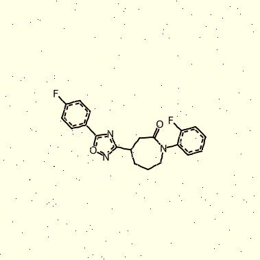 O=C1CC(c2noc(-c3ccc(F)cc3)n2)CCCN1c1ccccc1F